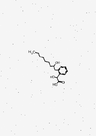 CCCCCCCC(O)Cc1ccccc1C(O)C(=O)O